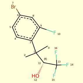 CC(C)(c1ccc(Br)cc1F)[C@@H](O)C(F)(F)F